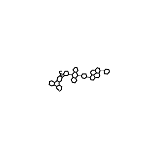 c1ccc(-c2ccc3ccc4c(-c5ccc(-c6c7ccccc7c(-c7ccc8sc9cc%10c%11ccccc%11c%11ccccc%11c%10cc9c8c7)c7ccccc67)cc5)ccc5ccc2c3c54)cc1